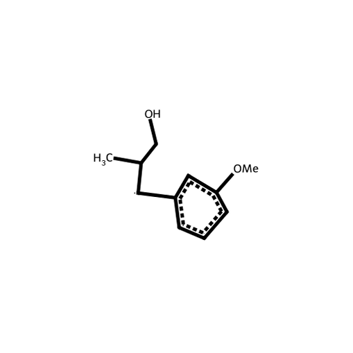 COc1cccc([CH]C(C)CO)c1